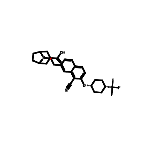 N#Cc1c(O[C@H]2CC[C@@H](C(F)(F)F)CC2)ccc2ccc(CCN3C4CCC3CC(C(=O)O)C4)cc12